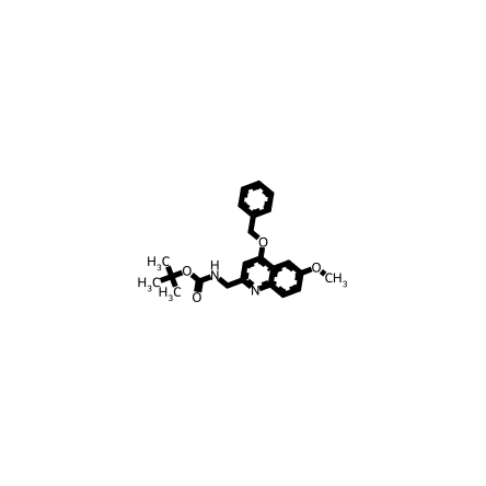 COc1ccc2nc(CNC(=O)OC(C)(C)C)cc(OCc3ccccc3)c2c1